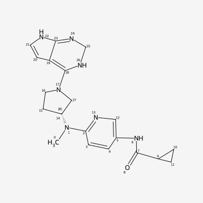 CN(c1ccc(NC(=O)C2CC2)cn1)[C@@H]1CCN(C2=c3cc[nH]c3=NCN2)C1